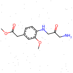 COC(=O)Cc1ccc(NCC(=O)CN)c(OC)c1